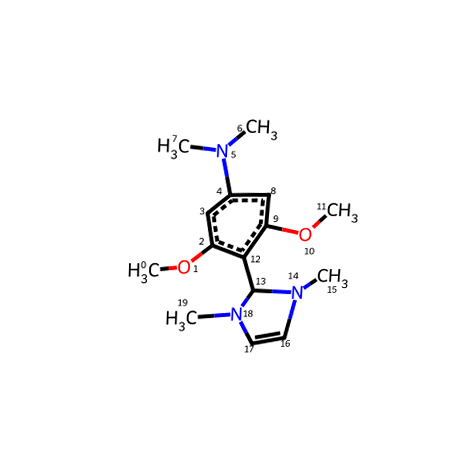 COc1cc(N(C)C)cc(OC)c1C1N(C)C=CN1C